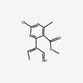 C/C=C(\C=N)c1nc(Cl)nc(C)c1C(=O)OC